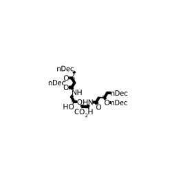 CCCCCCCCCCC[C@H](CC(=O)NC[C@@H](O)OC[C@H](NC(=O)C[C@@H](CCCCCCCCCCC)OCCCCCCCCCC)C(=O)O)OCCCCCCCCCC